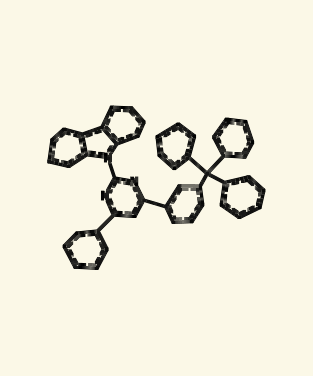 c1ccc(-c2cc(-c3cccc(C(c4ccccc4)(c4ccccc4)c4ccccc4)c3)nc(-n3c4ccccc4c4ccccc43)n2)cc1